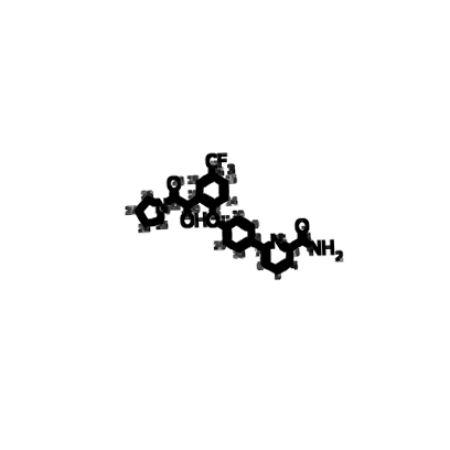 NC(=O)c1cccc(-c2ccc(Oc3ccc(C(F)(F)F)cc3C(O)C(=O)N3CCCC3)cc2)n1